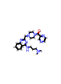 CN(C)CCCNc1nc(CN2CCN(C(=O)c3cnccn3)CC2)nc2ccccc12